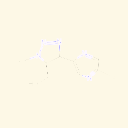 CCC1C(c2cnc(Br)cn2)N=NN1C